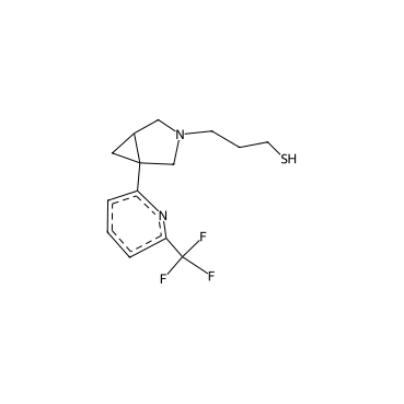 FC(F)(F)c1cccc(C23CC2CN(CCCS)C3)n1